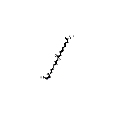 COC(=O)CCCCC=CCC(=O)NCCSSCCN/C=C\N